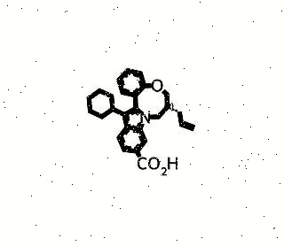 C=CC[C@H]1COc2ccccc2-c2c(C3CCCCC3)c3ccc(C(=O)O)cc3n2C1